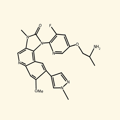 COc1cc2ncc3c(c2cc1-c1cnn(C)c1)n(-c1ncc(OCC(C)N)cc1F)c(=O)n3C